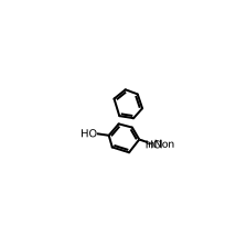 CCCCCCCCCc1ccc(O)cc1.Cl.c1ccccc1